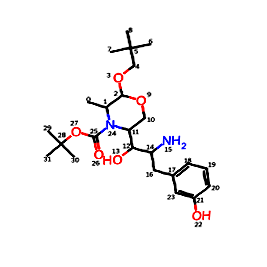 CC1C(OCC(C)(C)C)OCC(C(O)C(N)Cc2cccc(O)c2)N1C(=O)OC(C)(C)C